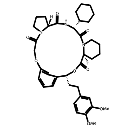 COc1ccc(CC[C@H]2OC(=O)[C@@H]3CCCCN3C(=O)[C@@H](C3CCCCC3)NC(=O)[C@H]3CCCN3C(=O)COc3cccc2c3)cc1OC